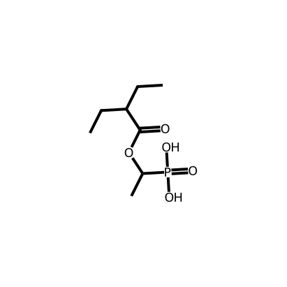 CCC(CC)C(=O)OC(C)P(=O)(O)O